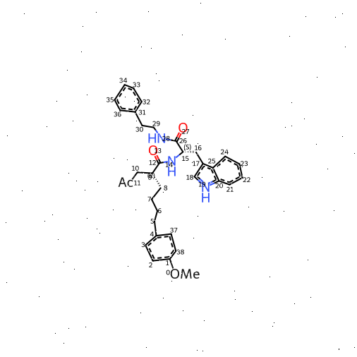 COc1ccc(CCCC[C@H](CC(C)=O)C(=O)N[C@@H](Cc2c[nH]c3ccccc23)C(=O)NCCc2ccccc2)cc1